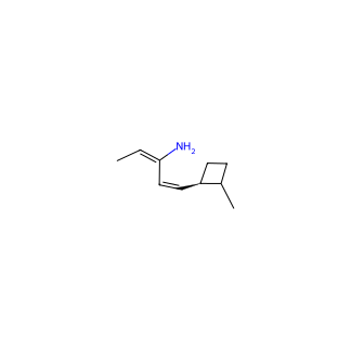 C/C=C(N)\C=C/[C@H]1CCC1C